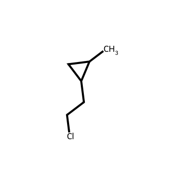 CC1CC1CCCl